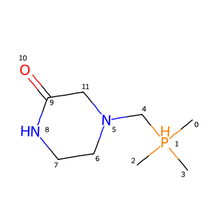 C[PH](C)(C)CN1CCNC(=O)C1